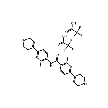 Cc1cc(C2=CCNCC2)ccc1NC(=O)c1ccc(C2=CCNCC2)cc1C.O=C(O)C(F)(F)F.O=C(O)C(F)(F)F